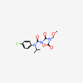 COCn1c(=O)on(C(=O)N(c2ccc(F)cc2)C(C)C)c1=O